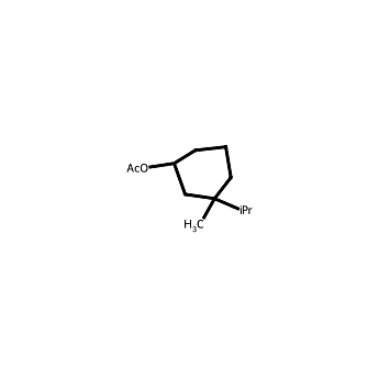 [CH]C(=O)OC1CCCC(C)(C(C)C)C1